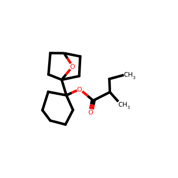 CCC(C)C(=O)OC1(C23CCC(CC2)O3)CCCCC1